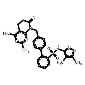 Cc1nc(C)c2c(n1)N(Cc1ccc(-c3ccccc3S(=O)(=O)Nc3onc(C)c3C)cc1)C(=O)CC2